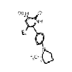 CCc1cc(C(=O)O)c(=O)[nH]c1-c1ccc(N2CCC[C@@H]2C(F)(F)F)cc1